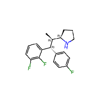 C[C@H]([C@H](c1ccc(F)cc1)c1cccc(F)c1F)[C@H]1CCCN1